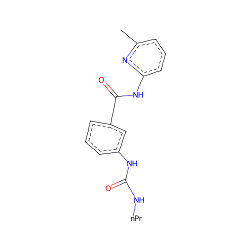 CCCNC(=O)Nc1cccc(C(=O)Nc2cccc(C)n2)c1